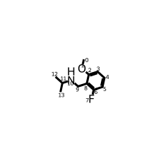 COc1cccc(F)c1CNC(C)C